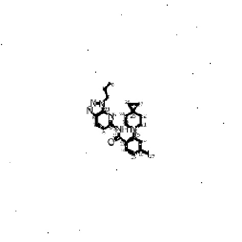 CCCn1nnc2ccc(NC(=O)c3ccc(I)cc3N3CCC4(CC3)CC4)nc21